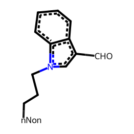 CCCCCCCCCCCCn1cc(C=O)c2ccccc21